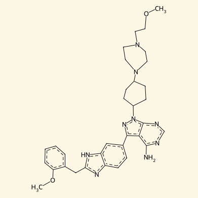 COCCN1CCN(C2CCC(n3nc(-c4ccc5nc(Cc6ccccc6OC)[nH]c5c4)c4c(N)ncnc43)CC2)CC1